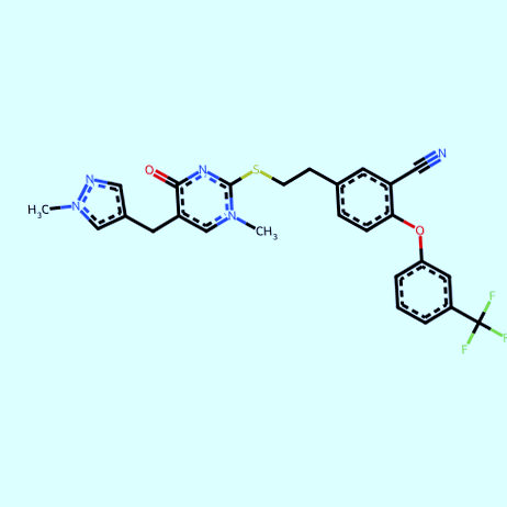 Cn1cc(Cc2cn(C)c(SCCc3ccc(Oc4cccc(C(F)(F)F)c4)c(C#N)c3)nc2=O)cn1